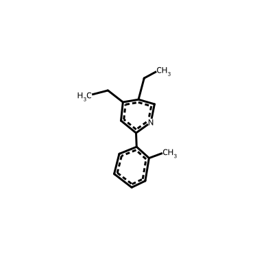 CCc1cnc(-c2ccccc2C)cc1CC